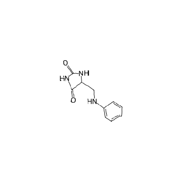 O=C1NC(=O)C(CNc2ccccc2)N1